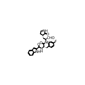 O=C[C@H](C[C@@H]1CCNC1=O)NC(=O)[C@H](Cc1ccc(F)cc1)NC(=O)c1cc2ccccc2[nH]1